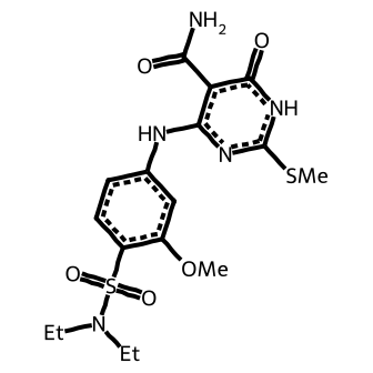 CCN(CC)S(=O)(=O)c1ccc(Nc2nc(SC)[nH]c(=O)c2C(N)=O)cc1OC